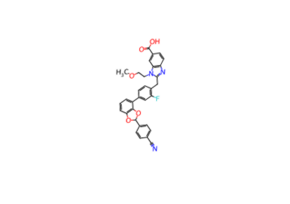 COCCn1c(Cc2ccc(-c3cccc4c3OC(c3ccc(C#N)cc3)O4)cc2F)nc2ccc(C(=O)O)cc21